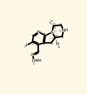 CON=Cc1c(F)cnc2c1C[C@@H]1CNC[C@@H](C)N21